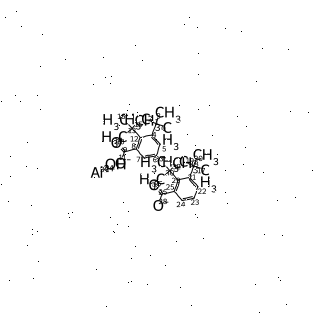 CC(C)(C)c1cccc(C(=O)[O-])c1C(C)(C)C.CC(C)(C)c1cccc(C(=O)[O-])c1C(C)(C)C.[OH][Al+2]